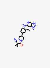 CCc1cc(C2=CCN(C(=O)C3(C#N)CC3)CC2)ccc1N(C)c1cc2c(cn1)ncn2C